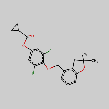 CC1(C)Cc2c(COc3c(F)cc(OC(=O)C4CC4)cc3F)cccc2O1